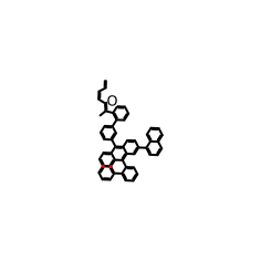 C=C/C=C\c1oc2cccc(-c3cccc(-c4c5ccccc5c(-c5ccccc5-c5ccccc5)c5cc(-c6cccc7ccccc67)ccc45)c3)c2c1C